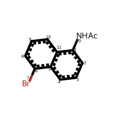 CC(=O)Nc1cccc2c(Br)cccc12